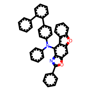 c1ccc(-c2nc3c(N(c4ccccc4)c4ccc(-c5ccccc5-c5ccccc5)cc4)c4c(cc3o2)oc2ccccc24)cc1